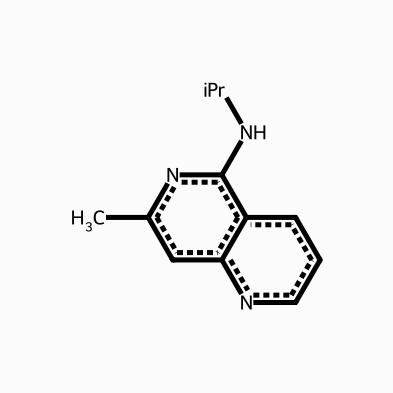 Cc1cc2ncccc2c(NC(C)C)n1